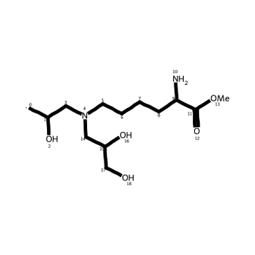 [CH2]C(O)CN(CCCCC(N)C(=O)OC)CC(O)CO